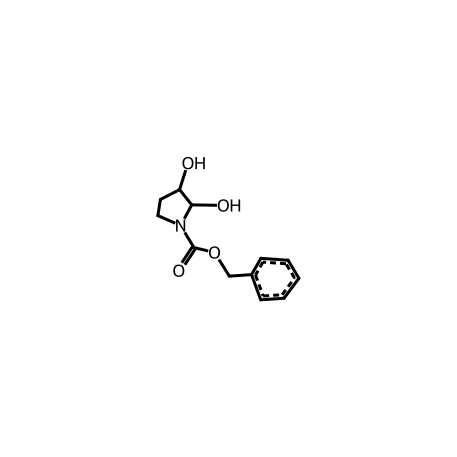 O=C(OCc1ccccc1)N1CCC(O)C1O